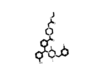 CCOC(=O)CN1CCN(C(=O)c2cccc(C(c3cccc(O)c3)N3C[C@@H](C)N(Cc4cccc(F)c4)C[C@@H]3C)c2)CC1